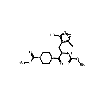 CCCCOC(=O)N1CCN(C(=O)C(Cc2c(O)noc2C)NC(=O)OC(C)(C)C)CC1